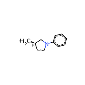 [CH2][C@@H]1CCN(c2ccccc2)C1